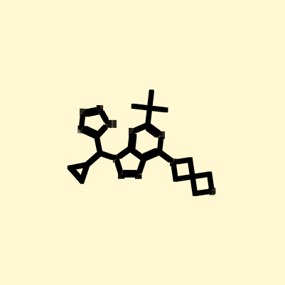 CC(C)(C)c1nc(N2CC3(COC3)C2)c2nnn(C(c3nnn[nH]3)C3CC3)c2n1